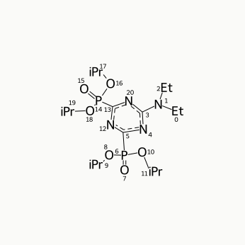 CCN(CC)c1nc(P(=O)(OC(C)C)OC(C)C)nc(P(=O)(OC(C)C)OC(C)C)n1